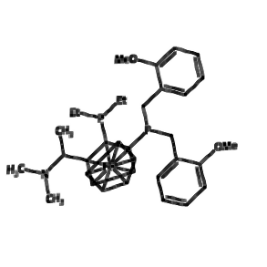 CCP(CC)[C]12[C]3(C(C)N(C)C)[CH]4[CH]5[C]1(P(Cc1ccccc1OC)Cc1ccccc1OC)[Fe]45321678[CH]2[CH]1[CH]6[CH]7[CH]28